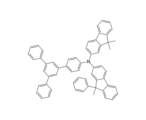 CC1(C)c2ccccc2-c2ccc(N(c3ccc(-c4cc(-c5ccccc5)cc(-c5ccccc5)c4)cc3)c3ccc4c(c3)C(C)(c3ccccc3)c3ccccc3-4)cc21